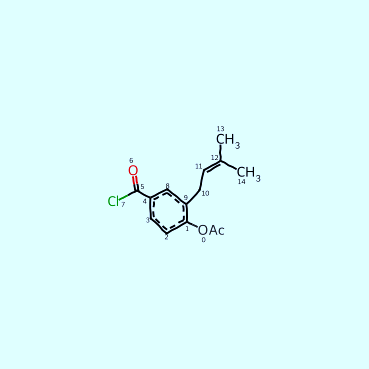 CC(=O)Oc1ccc(C(=O)Cl)cc1CC=C(C)C